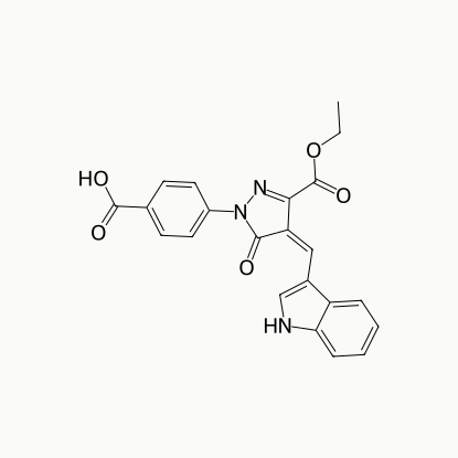 CCOC(=O)C1=NN(c2ccc(C(=O)O)cc2)C(=O)C1=Cc1c[nH]c2ccccc12